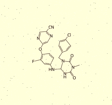 CN1C(=O)NC(Nc2ccc(Oc3cnc(C#N)cn3)c(F)c2)N(Cc2ccc(Cl)cc2)C1=O